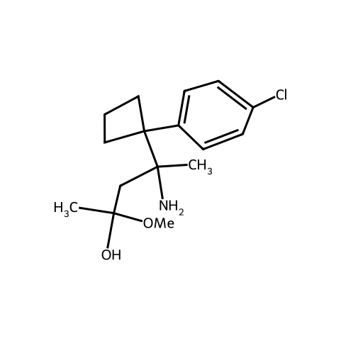 COC(C)(O)CC(C)(N)C1(c2ccc(Cl)cc2)CCC1